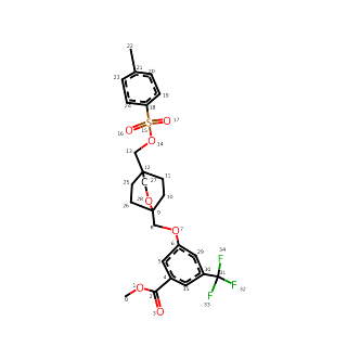 COC(=O)c1cc(OCC23CCC(COS(=O)(=O)c4ccc(C)cc4)(CC2)CO3)cc(C(F)(F)F)c1